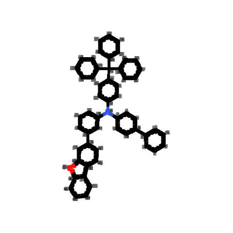 c1ccc(-c2ccc(N(c3ccc(C(c4ccccc4)(c4ccccc4)c4ccccc4)cc3)c3cccc(-c4ccc5c(c4)oc4ccccc45)c3)cc2)cc1